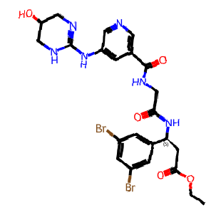 CCOC(=O)C[C@H](NC(=O)CNC(=O)c1cncc(NC2=NCC(O)CN2)c1)c1cc(Br)cc(Br)c1